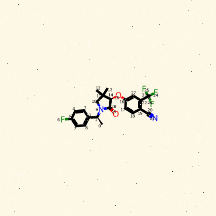 C[C@@H](c1ccc(F)cc1)N1CC(C)(C)[C@@H](Oc2ccc(C#N)c(C(F)(F)F)c2)C1=O